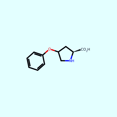 O=C(O)[C@@H]1CC(Oc2ccccc2)CN1